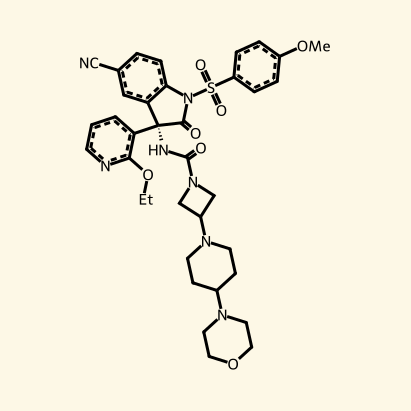 CCOc1ncccc1[C@]1(NC(=O)N2CC(N3CCC(N4CCOCC4)CC3)C2)C(=O)N(S(=O)(=O)c2ccc(OC)cc2)c2ccc(C#N)cc21